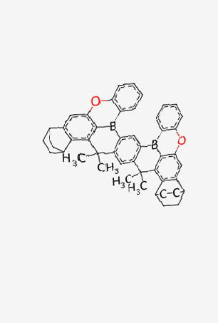 CC1(C)c2cc3c(cc2B2c4ccccc4Oc4cc5c(c1c42)C1CCC5CC1)B1c2ccccc2Oc2cc4c(c(c21)C3(C)C)C1CCC4CC1